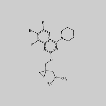 CN(C)CC1(COc2nc(N3CCCCC3)c3cc(F)c(Br)c(F)c3n2)CC1